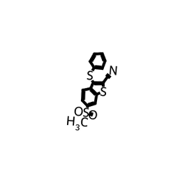 CS(=O)(=O)c1ccc2c(Sc3ccccc3)c(C#N)sc2c1